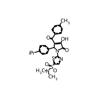 Cc1ccc(C(=O)C2=C(O)C(=O)N(c3ncc(S(=O)(=O)N(C)C)s3)C2c2ccc(C(C)C)cc2)cc1